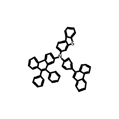 c1ccc(-c2c(-c3ccccc3)c3cc(N(c4ccc(-c5cc6ccccc6c6ccccc56)cc4)c4ccc5c(c4)sc4ccccc45)ccc3c3ccccc23)cc1